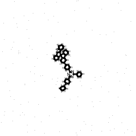 c1ccc(-c2ccc(-c3nc(-c4ccccc4)nc(-c4ccc(-c5ccc6c(c5)-c5ccccc5C65c6ccccc6-c6sc7ccccc7c65)cc4)n3)cc2)cc1